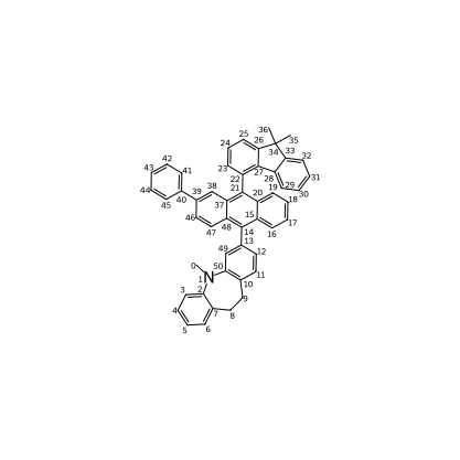 CN1c2ccccc2CCc2ccc(-c3c4ccccc4c(-c4cccc5c4-c4ccccc4C5(C)C)c4cc(-c5ccccc5)ccc34)cc21